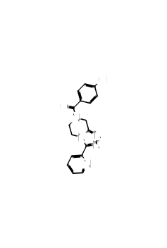 O=C(c1ccc(Cl)cc1)N1CCn2c(nnc2-c2ccccn2)C1